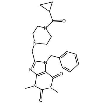 Cn1c(=O)c2c(nc(CN3CCN(C(=O)C4CC4)CC3)n2Cc2ccccc2)n(C)c1=O